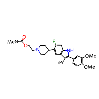 CNC(=O)OCCN1CCC(c2cc3c(C(C)C)c(-c4ccc(OC)c(OC)c4)[nH]c3cc2F)CC1